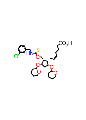 O=C(O)CCC/C=C\C[C@H]1[C@H](COC(=S)NCc2cccc(Cl)c2)[C@@H](OC2CCCCO2)C[C@H]1OC1CCCCO1